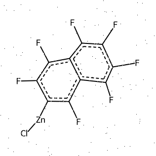 Fc1c(F)c(F)c2c(F)[c]([Zn][Cl])c(F)c(F)c2c1F